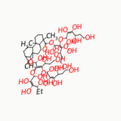 C=C1CC23CCC4C(C)(C(=O)OC(O)/C(OC(O)/C(O)=C(/O)C(O)CCO)=C(/OO)C(O)CCO)CCCC4(C)C2CCC1C3OC(O)/C(OC(O)/C(O)=C(/O)C(O)CC)=C(/OC(O)/C(O)=C(/O)C(O)CCO)C(O)CCO